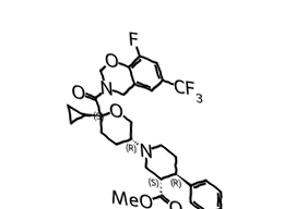 COC(=O)[C@@H]1CN([C@@H]2CC[C@@](C(=O)N3COc4c(F)cc(C(F)(F)F)cc4C3)(C3CC3)OC2)CC[C@H]1c1ccc(F)cc1